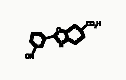 O=Nc1cccc(-c2nc3ccc(C(=O)O)cc3o2)c1